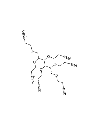 [C-]#[N+]CCOCC(OCC[N+]#[C-])C(OCCC#N)C(OCCC#N)C(COCCC#N)OCCC#N